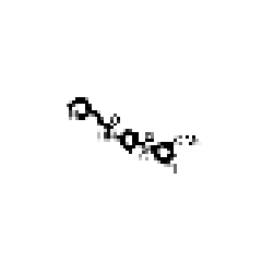 COc1cc(Cl)cc(S(=O)(=O)c2ccc(NC(=O)/C=C/c3cccnc3)cc2)c1